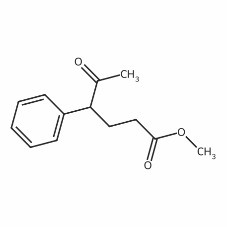 COC(=O)CCC(C(C)=O)c1ccccc1